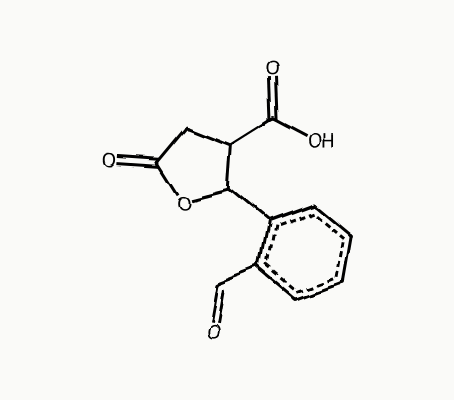 O=Cc1ccccc1C1OC(=O)CC1C(=O)O